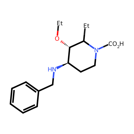 CCO[C@@H]1C(CC)N(C(=O)O)CC[C@H]1NCc1ccccc1